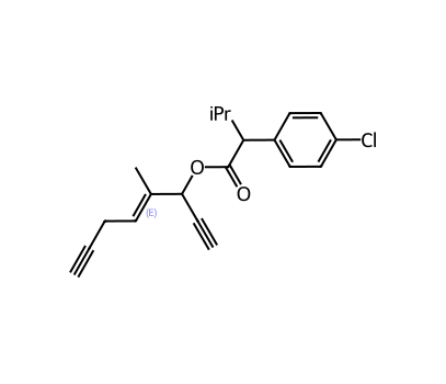 C#CC/C=C(\C)C(C#C)OC(=O)C(c1ccc(Cl)cc1)C(C)C